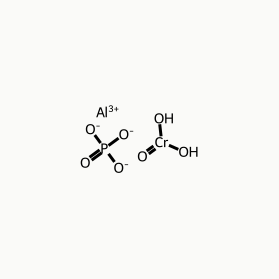 O=P([O-])([O-])[O-].[Al+3].[O]=[Cr]([OH])[OH]